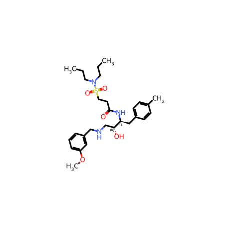 CCCN(CCC)S(=O)(=O)CCC(=O)N[C@@H](Cc1ccc(C)cc1)[C@H](O)CNCc1cccc(OC)c1